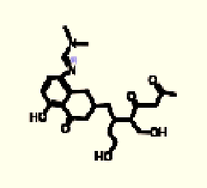 CC(=O)CC(=O)C(CO)C(CCO)CC1CC(=O)c2c(O)ccc(/N=C/N(C)C)c2C1